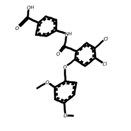 COc1ccc(Oc2cc(Cl)c(Cl)cc2C(=O)Nc2ccc(C(=O)O)cc2)c(OC)c1